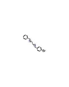 Brc1ccc(/C=N/CC/N=C/c2ccccc2)cc1